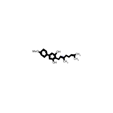 COc1ccc(-c2cc(O)c(C/C=C(\C)CCC=C(C)C)c(O)c2)cc1